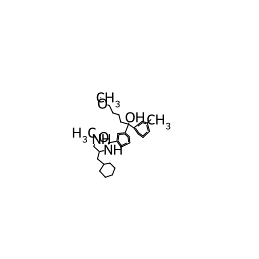 CNCC(CC1CCCCC1)NC(=O)c1cccc(C(O)(CCCCOC)c2cccc(C)c2)c1